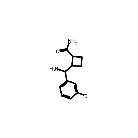 NC(=O)C1CCC1C(N)c1cccc(Cl)c1